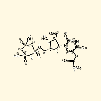 COC(=O)Cc1cn([C@@H]2O[C@H](COP3(=O)OP(=O)(O)OP(=O)(O)O3)[C@H](O)[C@@H]2OC)c(=O)[nH]c1=O